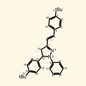 CC(C)(C)c1ccc(/C=C/C2=NN(c3ccccc3)C(c3ccc(C(C)(C)C)cc3)C2)cc1